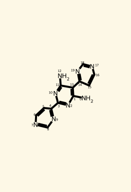 Nc1nc(-c2ccncn2)nc(N)c1-c1ccncn1